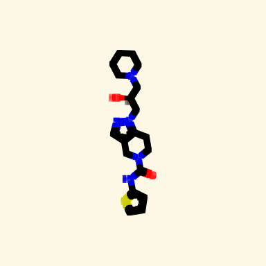 O=C(Nc1cccs1)N1CCc2c(cnn2C[C@@H](O)CN2CCCCC2)C1